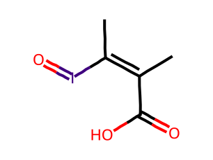 C/C(I=O)=C(\C)C(=O)O